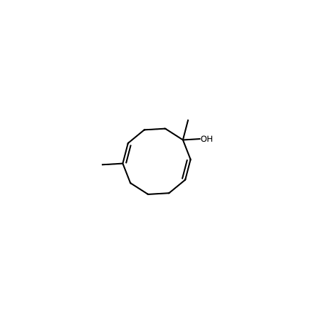 CC1=CCCC(C)(O)C=CCCC1